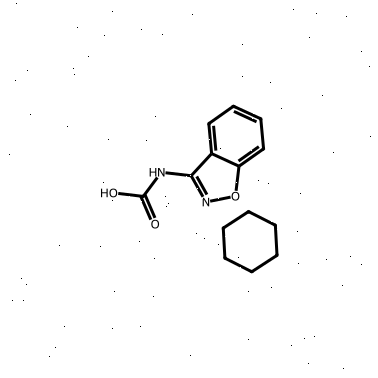 C1CCCCC1.O=C(O)Nc1noc2ccccc12